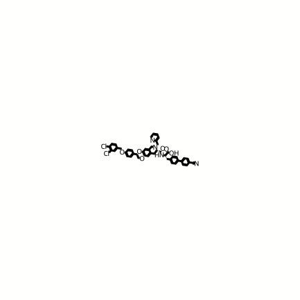 N#Cc1ccc(-c2ccc(C[C@H](NC(=O)[C@@H]3Cc4cc5c(cc4CN3Cc3ccccn3)OC(c3ccc(OCc4ccc(Cl)c(Cl)c4)cc3)CO5)C(=O)O)cc2)cc1